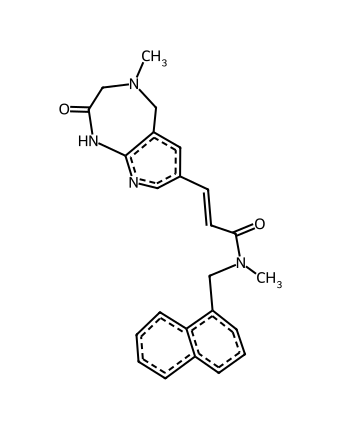 CN1CC(=O)Nc2ncc(C=CC(=O)N(C)Cc3cccc4ccccc34)cc2C1